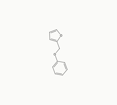 c1ccc(OCc2ccco2)cc1